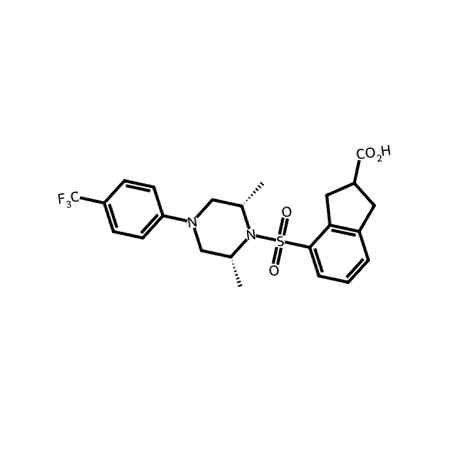 C[C@@H]1CN(c2ccc(C(F)(F)F)cc2)C[C@H](C)N1S(=O)(=O)c1cccc2c1CC(C(=O)O)C2